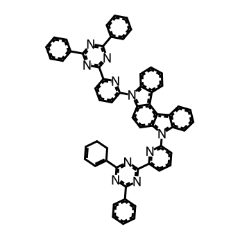 C1=CCCC(c2nc(-c3ccccc3)nc(-c3cccc(-n4c5ccccc5c5c6c7ccccc7n(-c7cccc(-c8nc(-c9ccccc9)nc(-c9ccccc9)n8)n7)c6ccc54)n3)n2)=C1